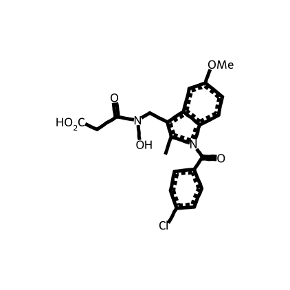 COc1ccc2c(c1)c(CN(O)C(=O)CC(=O)O)c(C)n2C(=O)c1ccc(Cl)cc1